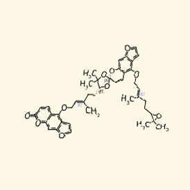 C/C(=C\COc1c2c(cc3occc13)O[C@]1(C=C2)O[C@H](CC/C(C)=C/COc2c3ccoc3cc3oc(=O)ccc23)C(C)(C)O1)CCC1OC1(C)C